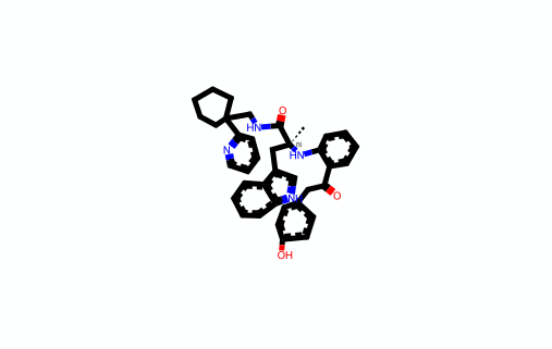 C[C@@](Cc1c[nH]c2ccccc12)(Nc1ccccc1C(=O)Cc1ccc(O)cc1)C(=O)NCC1(c2ccccn2)CCCCC1